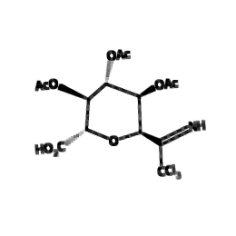 CC(=O)O[C@@H]1[C@@H](OC(C)=O)[C@@H](C(=N)C(Cl)(Cl)Cl)O[C@H](C(=O)O)[C@H]1OC(C)=O